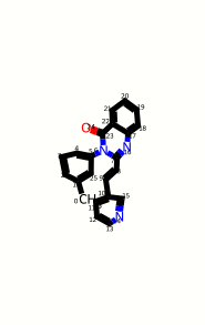 Cc1cccc(-n2c(/C=C/c3cccnc3)nc3ccccc3c2=O)c1